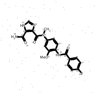 COc1cc(N(C)C(=O)c2nc[nH]c2C(N)=O)ccc1NC(=O)c1ccc(F)cc1